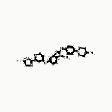 CN1CCN(c2ccc(Nc3nc4cc(Oc5ccnc(C6=NCC(C(F)(F)F)N6)c5)ccc4n3C)cc2)CC1